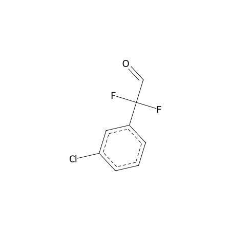 O=CC(F)(F)c1cccc(Cl)c1